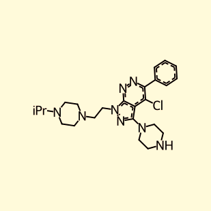 CC(C)N1CCN(CCn2nc(N3CCNCC3)c3c(Cl)c(-c4ccccc4)nnc32)CC1